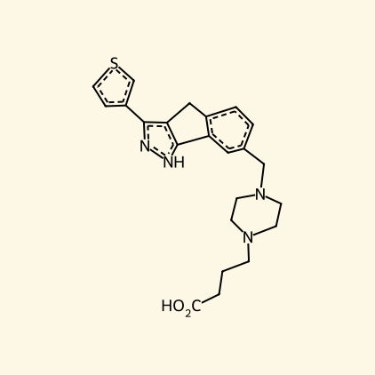 O=C(O)CCCN1CCN(Cc2ccc3c(c2)-c2[nH]nc(-c4ccsc4)c2C3)CC1